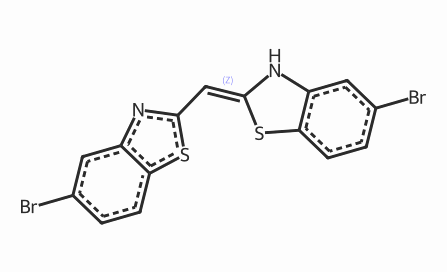 Brc1ccc2c(c1)N/C(=C/c1nc3cc(Br)ccc3s1)S2